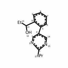 CCCc1ncc(-c2ccccc2C(O)CC)cn1